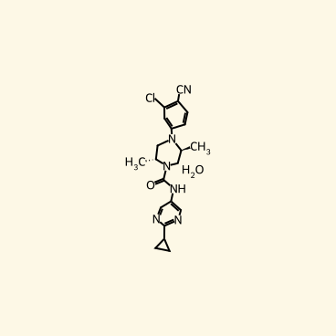 C[C@@H]1CN(c2ccc(C#N)c(Cl)c2)[C@@H](C)CN1C(=O)Nc1cnc(C2CC2)nc1.O